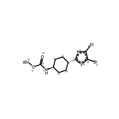 CCc1nc([C@H]2CC[C@H](NC(=O)OC(C)(C)C)CC2)sc1Br